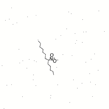 CCCCCCCC(CCCCC)[N+](=O)[O-]